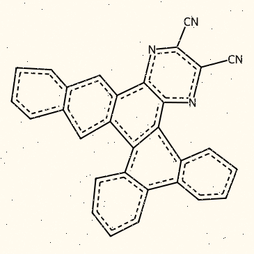 N#Cc1nc2c3cc4ccccc4cc3c3c4ccccc4c4ccccc4c3c2nc1C#N